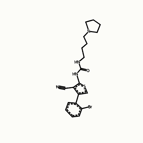 N#Cc1c(-c2ccccc2Br)csc1NC(=O)NCCCCN1CCCC1